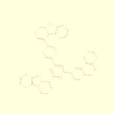 C1=CC2Oc3ccccc3C2C(c2ccc(-c3nc(C4=CCCc5c4oc4ccccc54)nc(-c4ccc5ccc6ccccc6c5c4)n3)cc2)=C1